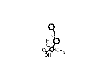 Cc1c(C(=O)O)cn(C)c1-c1cccc(OCc2ccccc2)c1